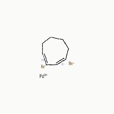 C1=C\CCCC\C=C/1.[Br-].[Br-].[Pd+2]